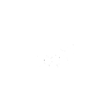 CC1(C)OC(=O)C(C(=O)Cc2cc(F)c(F)cc2Br)C(=O)O1